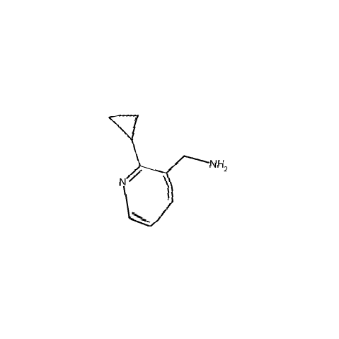 NCc1cccnc1C1CC1